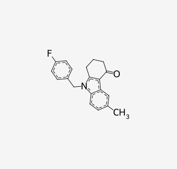 Cc1ccc2c(c1)c1c(n2Cc2ccc(F)cc2)CCCC1=O